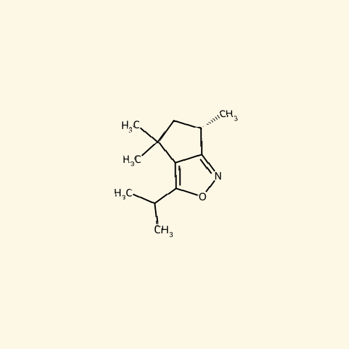 CC(C)c1onc2c1C(C)(C)C[C@@H]2C